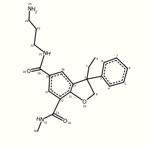 CCC1(c2ccccc2)COc2c(C(=O)NC)cc(C(=O)NCCCN)cc21